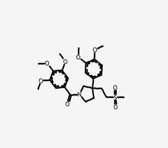 COc1ccc(C2(CCS(C)(=O)=O)CCN(C(=O)c3cc(OC)c(OC)c(OC)c3)C2)cc1OC